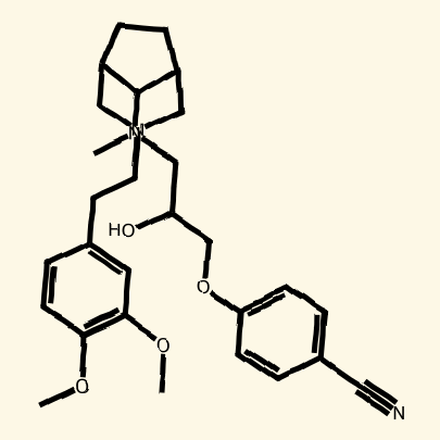 COc1ccc(CCN2CC3CCC(C2)C3N(C)CC(O)COc2ccc(C#N)cc2)cc1OC